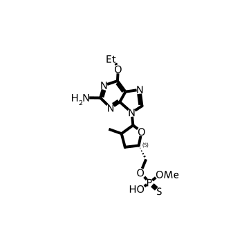 CCOc1nc(N)nc2c1ncn2C1O[C@H](COP(O)(=S)OC)CC1C